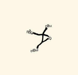 CCCCC1OC1(CCCC)CCCC